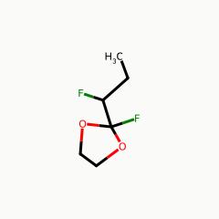 CCC(F)C1(F)OCCO1